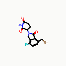 O=C1CCC(N2Cc3c(F)ccc(CBr)c3C2=O)C(=O)N1